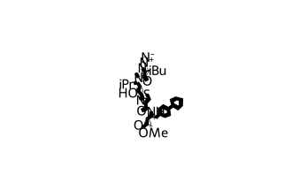 CCC(C)[C@H](N=[N+]=[N-])C(=O)N(C)C(C[C@@H](O)c1nc(C(=O)N[C@@H](Cc2ccc(-c3ccccc3)cc2)C[C@H](C)C(=O)OC)cs1)C(C)C